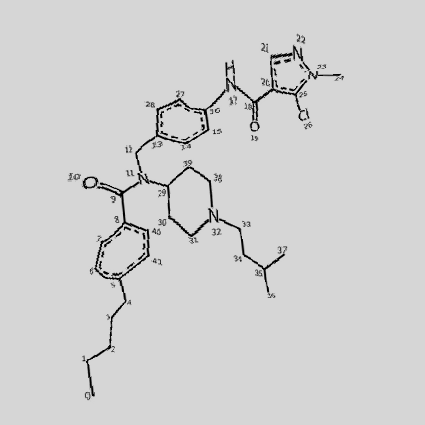 CCCCCc1ccc(C(=O)N(Cc2ccc(NC(=O)c3cnn(C)c3Cl)cc2)C2CCN(CCC(C)C)CC2)cc1